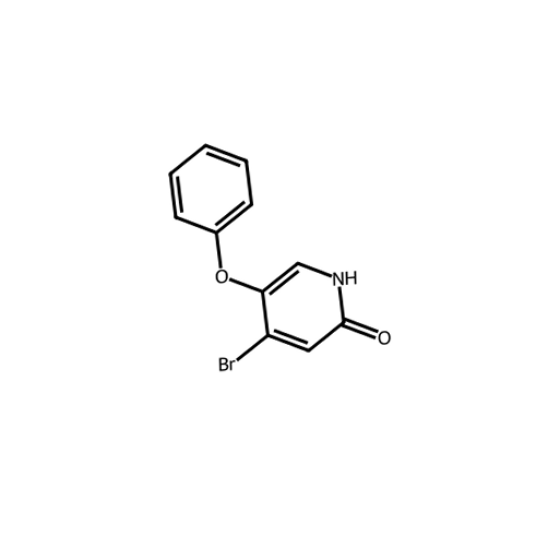 O=c1cc(Br)c(Oc2ccccc2)c[nH]1